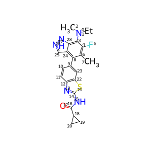 CCN(C)c1c(F)c(C)c(-c2ccc3nc(NC(=O)C4CC4)sc3c2)c2cn[nH]c12